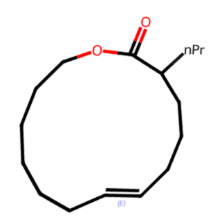 CCCC1CCC/C=C/CCCCCCOC1=O